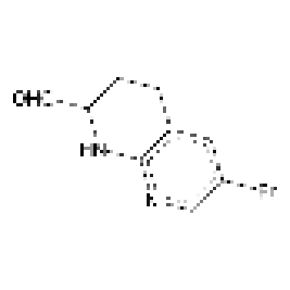 O=CC1CCc2cc(Br)cnc2N1